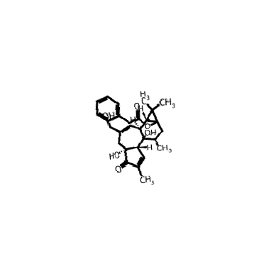 CC1=C[C@H]2[C@@]3(O)[C@H](C)CC4(OC(=O)Cc5ccccc5)[C@H]([C@@H]3C=C(CO)C[C@]2(O)C1=O)C4(C)C